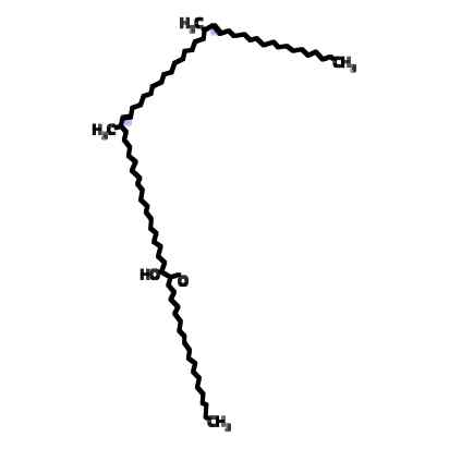 CCCCCCCCCCCCCCCC/C=C/C(C)CCCCCCCCCCCCCC/C=C/C(C)CCCCCCCCCCCCCCCCCCCC(O)C(C=O)CCCCCCCCCCCCCCCCCCCC